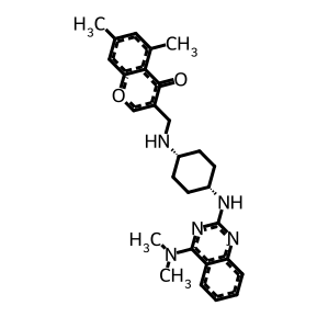 Cc1cc(C)c2c(=O)c(CN[C@H]3CC[C@@H](Nc4nc(N(C)C)c5ccccc5n4)CC3)coc2c1